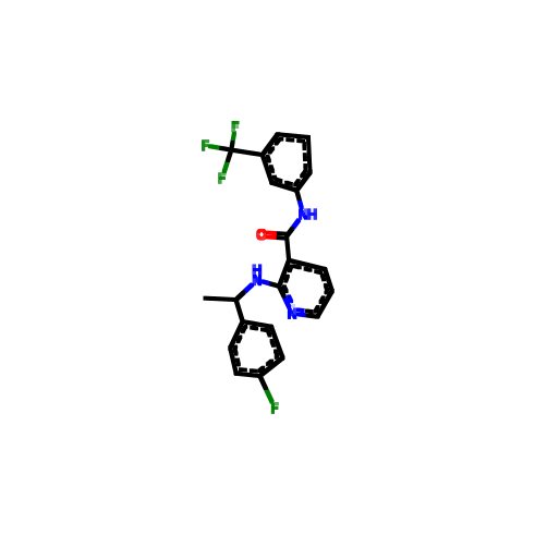 CC(Nc1ncccc1C(=O)Nc1cccc(C(F)(F)F)c1)c1ccc(F)cc1